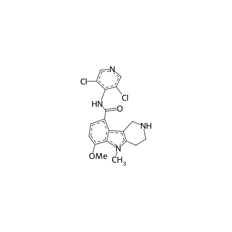 COc1ccc(C(=O)Nc2c(Cl)cncc2Cl)c2c3c(n(C)c12)CCNC3